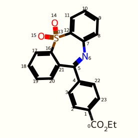 CCOC(=O)c1ccc(C2=Nc3ccccc3S(=O)(=O)c3ccccc32)cc1